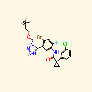 C[Si](C)(C)CCOCn1nnnc1-c1cc(NC(=O)C2(c3cccc(Cl)c3)CC2)c(F)cc1Br